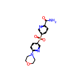 NC(=O)c1ccc(S(=O)(=O)c2ccc(N3CCOCC3)nc2)cn1